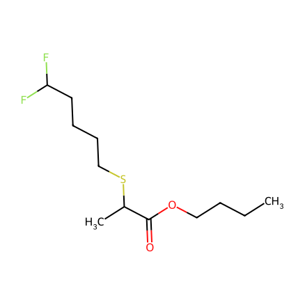 CCCCOC(=O)C(C)SCCCCC(F)F